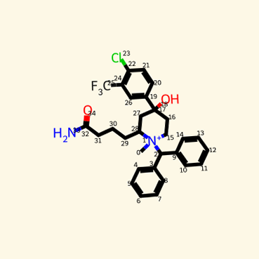 C[N+]1(C(c2ccccc2)c2ccccc2)CCC(O)(c2ccc(Cl)c(C(F)(F)F)c2)CC1CCCC(N)=O